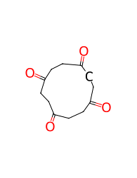 O=C1CCC(=O)CCC(=O)CCC(=O)CC1